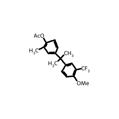 COc1ccc(C(C)(C)c2ccc(OC(C)=O)c(C)c2)cc1C(F)(F)F